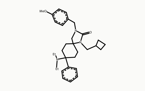 CCN(CC)C1(c2ccccc2)CCC2(CC1)CN(Cc1ccc(OC)cc1)C(=O)N2CC1CCC1